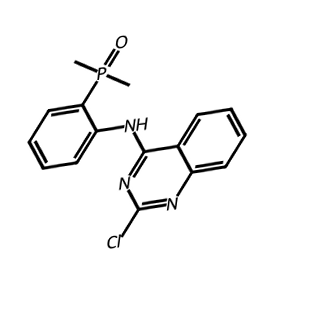 CP(C)(=O)c1ccccc1Nc1nc(Cl)nc2ccccc12